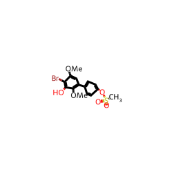 COc1cc(-c2ccc(OS(C)(=O)=O)cc2)c(OC)c(O)c1Br